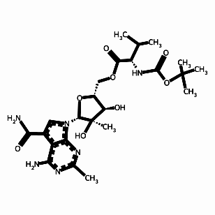 Cc1nc(N)c2c(C(N)=O)cn([C@@H]3O[C@H](COC(=O)[C@@H](NC(=O)OC(C)(C)C)C(C)C)[C@@H](O)[C@@]3(C)O)c2n1